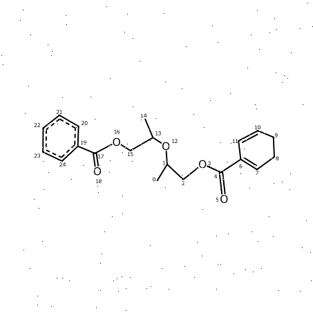 CC(COC(=O)C1=CCCC=C1)OC(C)COC(=O)c1ccccc1